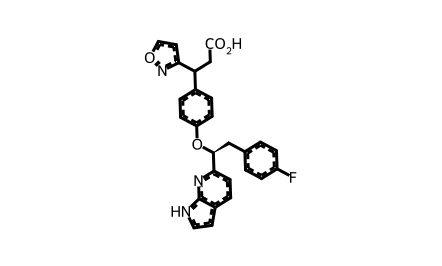 O=C(O)CC(c1ccc(O[C@@H](Cc2ccc(F)cc2)c2ccc3cc[nH]c3n2)cc1)c1ccon1